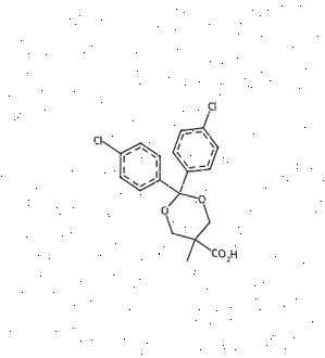 CC1(C(=O)O)COC(c2ccc(Cl)cc2)(c2ccc(Cl)cc2)OC1